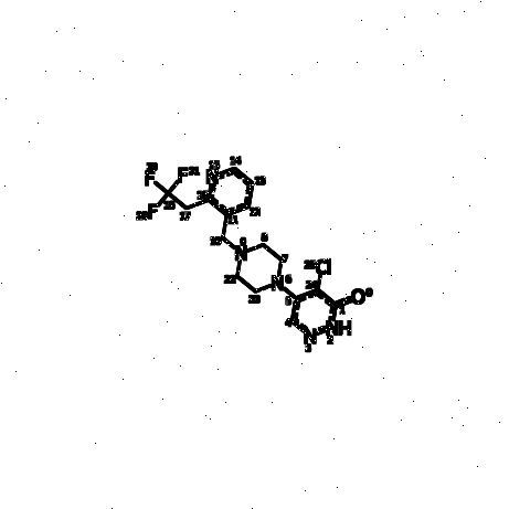 O=c1[nH]ncc(N2CCN(Cc3cccnc3CC(F)(F)F)CC2)c1Cl